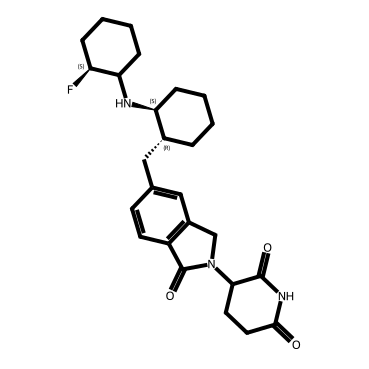 O=C1CCC(N2Cc3cc(C[C@H]4CCCC[C@@H]4NC4CCCC[C@@H]4F)ccc3C2=O)C(=O)N1